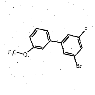 Fc1cc(Br)cc(-c2cccc(OC(F)(F)F)c2)c1